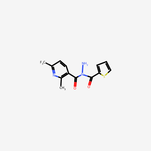 Cc1nc(C(F)(F)F)ccc1C(=O)N(N)C(=O)c1cccs1